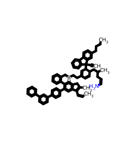 C#CC1(C2C=C(CCBCc3ccccc3-c3cc4c(cc3-c3ccc(-c5cccc(-c6ccccc6)c5)cc3)C(/C=C\C)=C(C)C4)C=CC2CC(C)C/C=C\N)c2ccccc2-c2ccc(CCCC)cc21